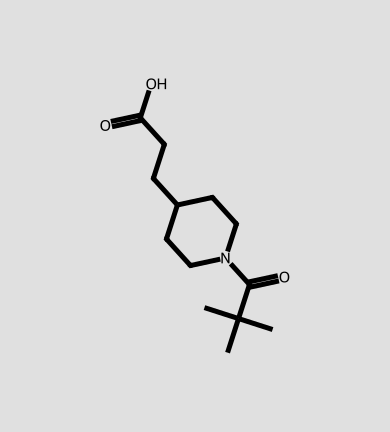 CC(C)(C)C(=O)N1CCC(CCC(=O)O)CC1